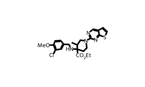 CCOC(=O)C1(NCc2ccc(OC)c(Cl)c2)CCN(c2ncc3ccsc3n2)CC1C